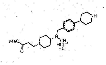 COC(=O)CC[C@H]1CC[C@H](N(C)Cc2ccc(C3CCNCC3)cc2)CC1.Cl.Cl